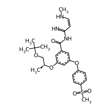 CN/C=C\C(=N)NC(=O)c1cc(Oc2ccc(S(C)(=O)=O)cc2)cc(O[C@@H](C)COC(C)(C)C)c1